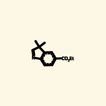 CCOC(=O)c1ccc2c(c1)C(C)(C)C=N2